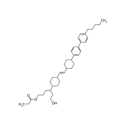 CCCCCc1ccc(-c2ccc(C3CCC(/C=C/C4CCC(C(CCO)CCCOC(=O)CC)CC4)CC3)cc2)cc1